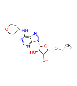 O[C@@H]1[C@H](O)[C@@H](COCC(F)(F)F)O[C@H]1n1cnc2c(NC3CCOCC3)ncnc21